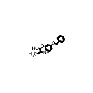 CC=C(Nc1ccc(OCc2ccccc2)cc1)C(=O)O